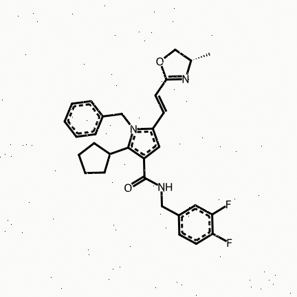 C[C@H]1COC(/C=C/c2cc(C(=O)NCc3ccc(F)c(F)c3)c(C3CCCC3)n2Cc2ccccc2)=N1